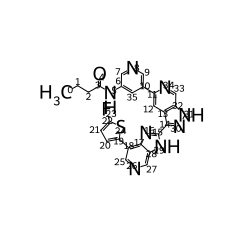 CCCC(=O)Nc1cncc(-c2cc3c(-c4nc5c(-c6ccc(F)s6)cncc5[nH]4)n[nH]c3cn2)c1